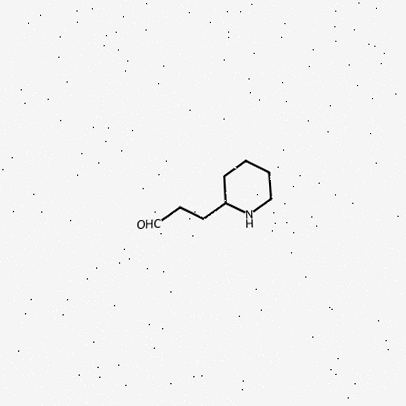 O=CCCC1CCCCN1